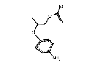 CCC(=O)OCC(C)Oc1ccc(N)cc1